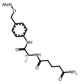 CNOCc1ccc(NC(=O)[C@@H](C)NC(=O)CCCC(N)=O)cc1